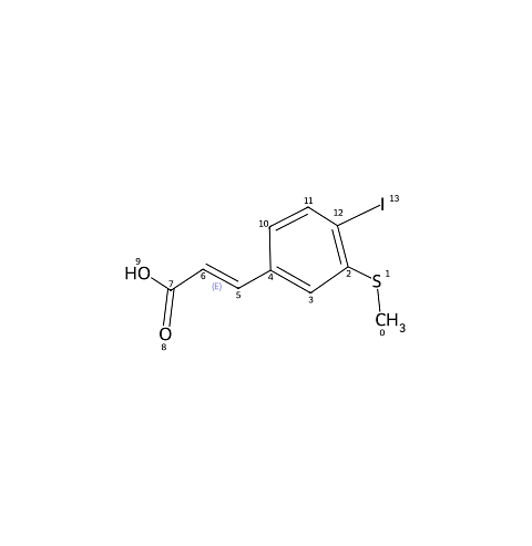 CSc1cc(/C=C/C(=O)O)ccc1I